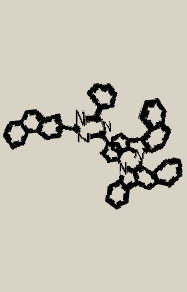 c1ccc(-c2nc(-c3ccc(-n4c5ccccc5c5cc6ccccc6c(-n6c7ccccc7c7c8ccccc8ccc76)c54)cc3)nc(-c3ccc4c(ccc5ccccc54)c3)n2)cc1